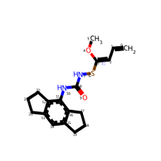 C=C/C=C(\OC)SNC(=O)Nc1c2c(cc3c1CCC3)CCC2